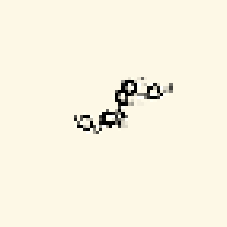 F[C@H]1CNCCC1Oc1cccc2ccc(-c3cnc4cc(OC5CCOCC5)ccn34)nc12